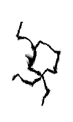 CCC1CCCC(CC)(CC)C1